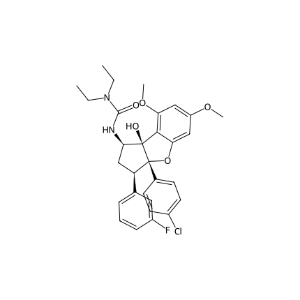 CCN(CC)C(=O)N[C@@H]1C[C@H](c2cccc(F)c2)[C@@]2(c3ccc(Cl)cc3)Oc3cc(OC)cc(OC)c3[C@@]12O